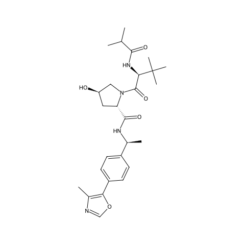 Cc1ncoc1-c1ccc([C@H](C)NC(=O)[C@@H]2C[C@@H](O)CN2C(=O)[C@@H](NC(=O)C(C)C)C(C)(C)C)cc1